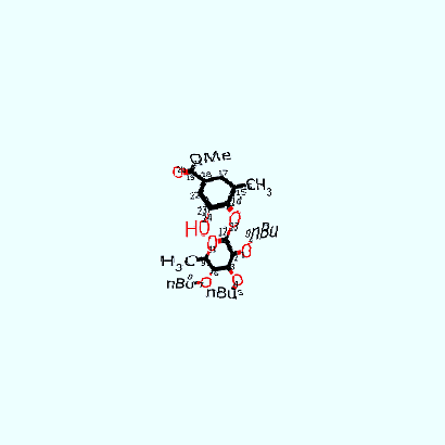 CCCCOC1C(OCCCC)[C@H](OCCCC)C(C)O[C@H]1OC1C(C)CC(C(=O)OC)C[C@H]1O